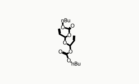 C=CC(OC(=O)OCCCC)OC(C=C)OC(=O)OCCCC